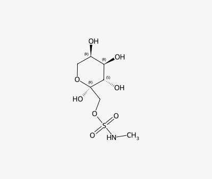 CNS(=O)(=O)OC[C@@]1(O)OC[C@@H](O)[C@@H](O)[C@@H]1O